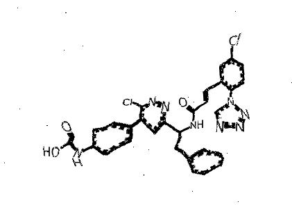 O=C(O)Nc1ccc(-c2cc(C(Cc3ccccc3)NC(=O)C=Cc3cc(Cl)ccc3-n3cnnn3)nnc2Cl)cc1